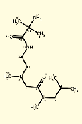 CC(C)CN(C)C(=O)CN(C)CCNC(=O)C(C)(C)N